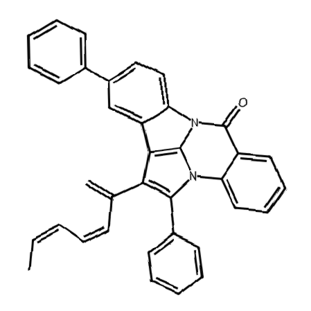 C=C(/C=C\C=C/C)c1c(-c2ccccc2)n2c3ccccc3c(=O)n3c4ccc(-c5ccccc5)cc4c1c23